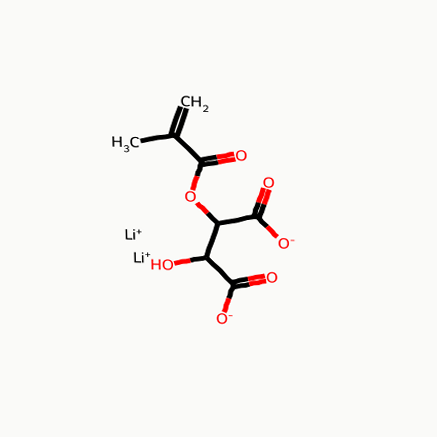 C=C(C)C(=O)OC(C(=O)[O-])C(O)C(=O)[O-].[Li+].[Li+]